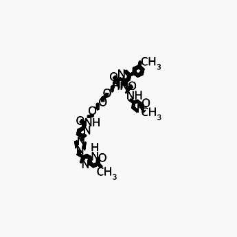 CCc1cccc(-c2cnc(C(=O)NCCOCCOCCOCCNC(=O)c3ccc(N4CCN(Cc5cnc6cc(CC)c(=O)[nH]c6c5)CC4)cn3)c(NC(=O)CNCC3CCN(C)C(=O)C3)c2)c1